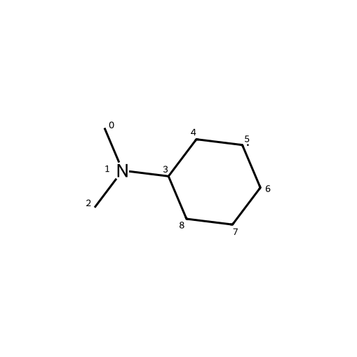 CN(C)C1C[CH]CCC1